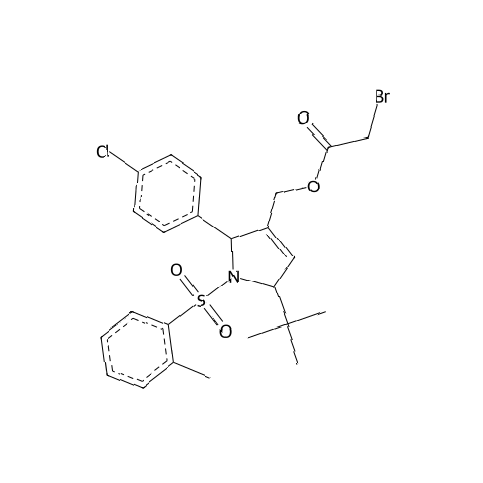 Cc1ccccc1S(=O)(=O)N1C(c2ccc(Cl)cc2)C(COC(=O)CBr)=CC1C(C)(C)C